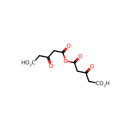 O=C(O)CC(=O)CC(=O)OC(=O)CC(=O)CC(=O)O